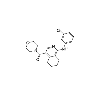 O=C(c1cnc(Nc2cccc(Cl)c2)c2c1CCCC2)N1CCOCC1